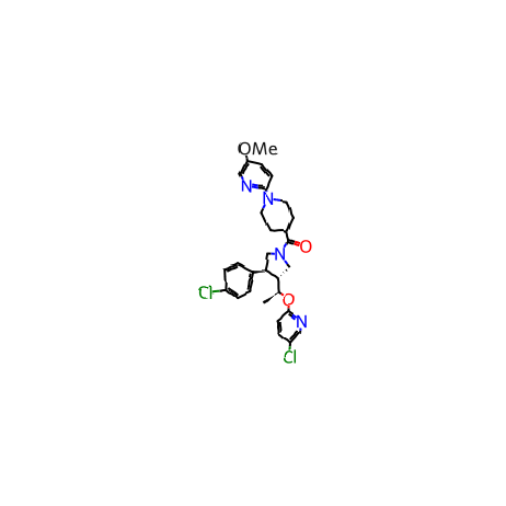 COc1ccc(N2CCC(C(=O)N3C[C@H]([C@H](C)Oc4ccc(Cl)cn4)[C@@H](c4ccc(Cl)cc4)C3)CC2)nc1